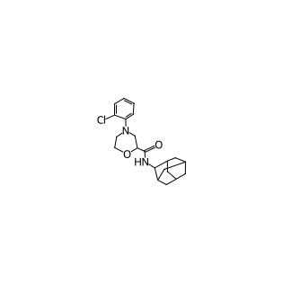 O=C(NC1C2CC3CC(C2)CC1C3)C1CN(c2ccccc2Cl)CCO1